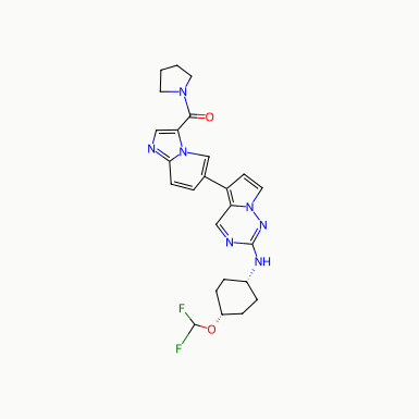 O=C(c1cnc2ccc(-c3ccn4nc(N[C@H]5CC[C@@H](OC(F)F)CC5)ncc34)cn12)N1CCCC1